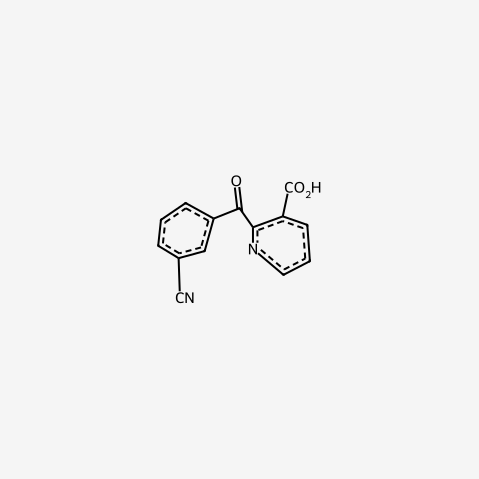 N#Cc1cccc(C(=O)c2ncccc2C(=O)O)c1